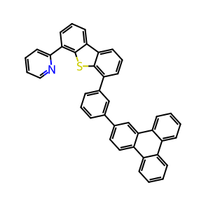 c1ccc(-c2cccc3c2sc2c(-c4cccc(-c5ccc6c7ccccc7c7ccccc7c6c5)c4)cccc23)nc1